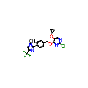 Cn1cc(C(F)(F)F)nc1-c1ccc(COc2nc(Cl)ncc2OC2CC2)cc1